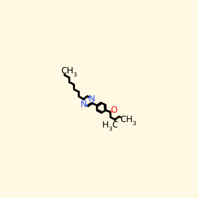 CCCCCCCCc1cnc(-c2ccc(C(=O)CC(C)CC)cc2)cn1